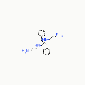 NCCCNCC(Cc1ccccc1)(Cc1ccccc1)NCCCN